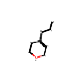 CCCC1=CCOCC1